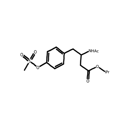 CC(=O)NC(CC(=O)OC(C)C)Cc1ccc(OS(C)(=O)=O)cc1